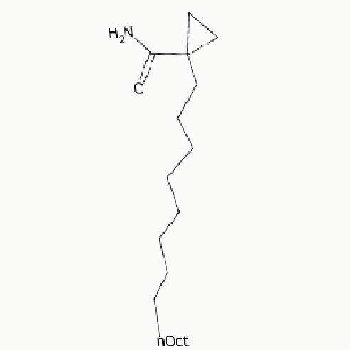 CCCCCCCCCCCCCCCCC1(C(N)=O)CC1